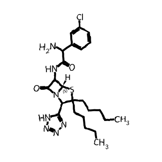 CCCCCC1(CCCCC)S[C@H]2C(NC(=O)C(N)c3cccc(Cl)c3)C(=O)N2C1c1nnn[nH]1